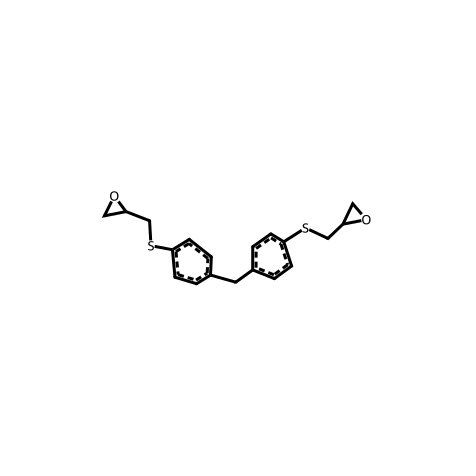 c1cc(SCC2CO2)ccc1Cc1ccc(SCC2CO2)cc1